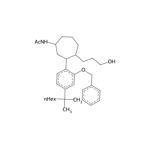 CCCCCCC(C)(C)c1ccc(C2CC(NC(C)=O)CCCC2CCCO)c(OCc2ccccc2)c1